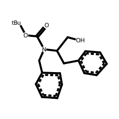 CC(C)(C)OC(=O)N(Cc1ccccc1)C(CO)Cc1ccccc1